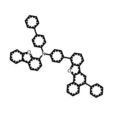 c1ccc(-c2ccc(N(c3ccc(-c4cccc5c4oc4c6ccccc6c(-c6ccccc6)cc54)cc3)c3cccc4c3oc3ccccc34)cc2)cc1